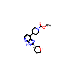 CC(C)(C)OC(=O)N1CCC(c2ccnc3[nH]c([C@H]4CCCOC4)nc23)CC1